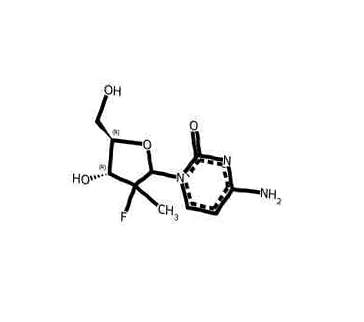 CC1(F)C(n2ccc(N)nc2=O)O[C@H](CO)[C@H]1O